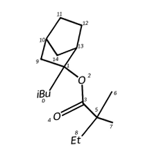 CCC(C)C1(OC(=O)C(C)(C)CC)CC2CCC1C2